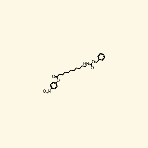 O=C(CCCCCCCCCCNC(=O)OCc1ccccc1)Oc1ccc([N+](=O)[O-])cc1